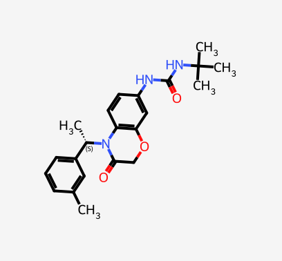 Cc1cccc([C@H](C)N2C(=O)COc3cc(NC(=O)NC(C)(C)C)ccc32)c1